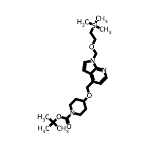 CC(C)(C)OC(=O)N1CCC(OCc2ccnc3c2ccn3COCC[Si](C)(C)C)CC1